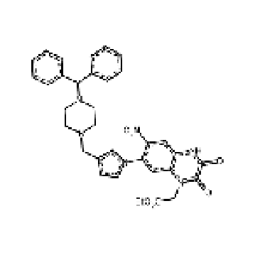 CCOC(=O)Cn1c(=O)c(=O)[nH]c2cc([N+](=O)[O-])c(-n3ccc(CN4CCN(C(c5ccccc5)c5ccccc5)CC4)c3)cc21